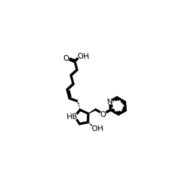 O=C(O)CCC/C=C\C[C@H]1BC[C@@H](O)[C@@H]1COc1ccccn1